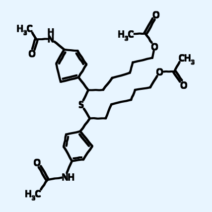 CC(=O)Nc1ccc(C(CCCCCOC(C)=O)SC(CCCCCOC(C)=O)c2ccc(NC(C)=O)cc2)cc1